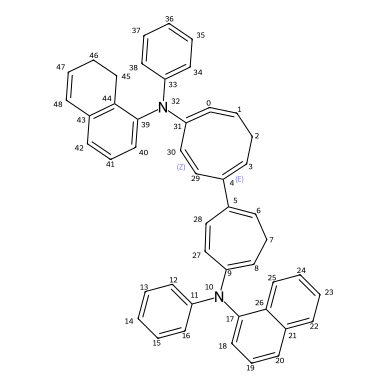 C1=CC/C=C(C2=CCC=C(N(c3ccccc3)c3cccc4ccccc34)C=C2)\C=C/C=1N(c1ccccc1)c1cccc2c1CCC=C2